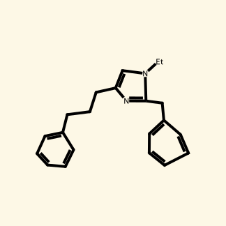 CCn1cc(CCCc2ccccc2)nc1Cc1ccccc1